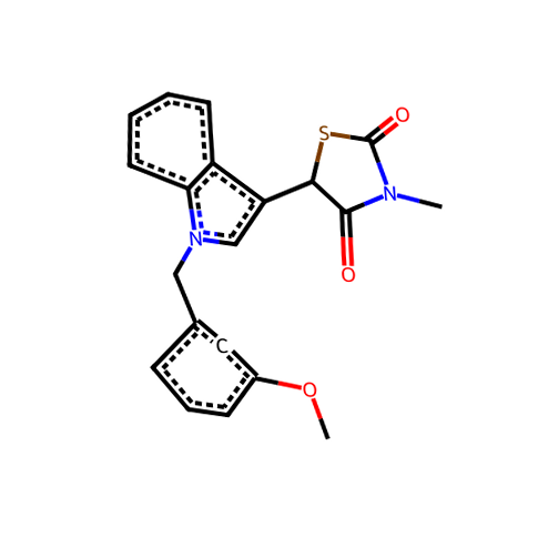 COc1cccc(Cn2cc(C3SC(=O)N(C)C3=O)c3ccccc32)c1